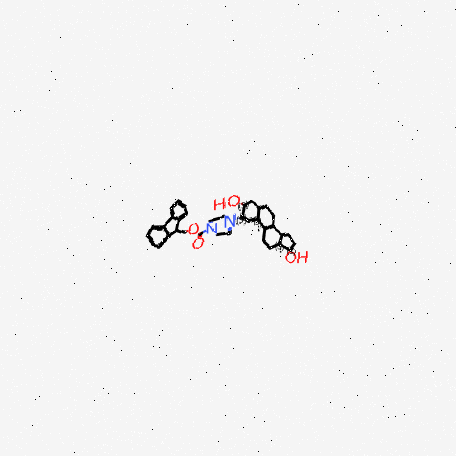 C[C@]12C[C@H](N3CCN(C(=O)OCC4c5ccccc5-c5ccccc54)CC3)[C@@H](O)CC1CCC1C2CC[C@@]2(C)C1CC[C@@H]2O